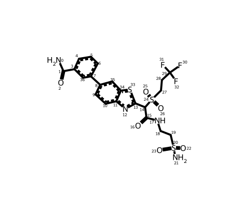 NC(=O)c1cccc(-c2ccc3nc(C(C(=O)NCCS(N)(=O)=O)S(=O)(=O)CCC(F)(F)F)sc3c2)c1